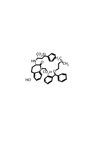 CCOC(=O)[C@H](CCc1ccccc1)N[C@H]1CCc2ccccc2N(CC(=O)O)C1=O.CN(C)CCOC(c1ccccc1)c1ccccc1.Cl